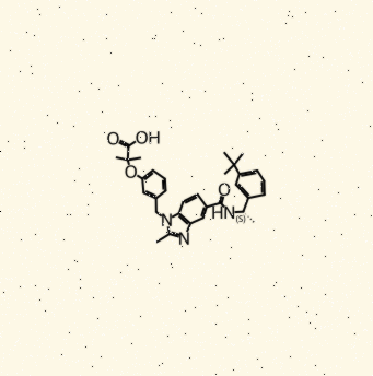 Cc1nc2cc(C(=O)N[C@@H](C)c3cccc(C(C)(C)C)c3)ccc2n1Cc1cccc(OC(C)(C)C(=O)O)c1